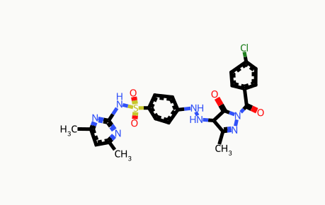 CC1=NN(C(=O)c2ccc(Cl)cc2)C(=O)C1NNc1ccc(S(=O)(=O)Nc2nc(C)cc(C)n2)cc1